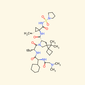 C=C[C@@H]1C[C@]1(NC(=O)[C@@H]1C[C@@]2(CN1C(=O)[C@@H](NC(=O)[C@@H](NC(=O)CN(C)C)C1CCCCC1)C(C)(C)C)C(C)(C)C21CCC1)C(=O)NS(=O)(=O)N1CCCC1